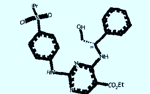 CCOC(=O)c1cnc(Nc2ccc(S(=O)(=O)C(C)C)cc2)nc1N[C@H](CO)c1ccccc1